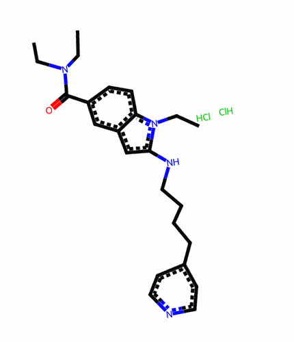 CCN(CC)C(=O)c1ccc2c(c1)cc(NCCCCc1ccncc1)n2CC.Cl.Cl